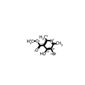 COC(=O)c1c(C)nc(C)c(Br)c1O